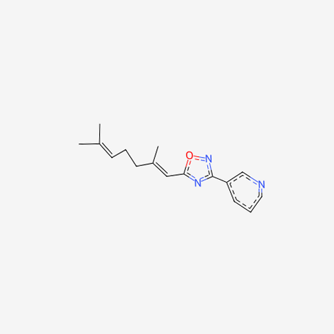 CC(C)=CCC/C(C)=C/c1nc(-c2cccnc2)no1